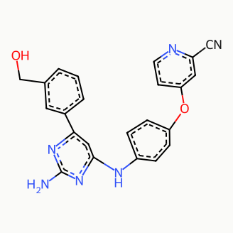 N#Cc1cc(Oc2ccc(Nc3cc(-c4cccc(CO)c4)nc(N)n3)cc2)ccn1